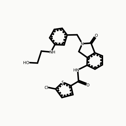 O=C(Nc1cccc2c1CN(Cc1cccc(NCCO)c1)C2=O)c1ccc(Cl)s1